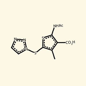 CC(=O)Nc1sc(Sn2ccnn2)c(C)c1C(=O)O